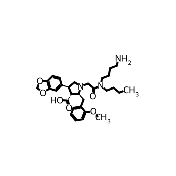 CCCCN(CCCCN)C(=O)CN1C[C@H](c2ccc3c(c2)OCO3)[C@@H](C(=O)O)[C@@H]1Cc1ccccc1OC